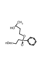 CCCCCCCCCCCCP(=O)(OCCC(C)O)c1ccccc1